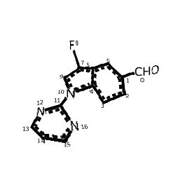 O=Cc1ccc2c(c1)c(F)cn2-c1ncccn1